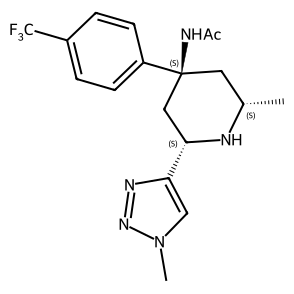 CC(=O)N[C@]1(c2ccc(C(F)(F)F)cc2)C[C@@H](c2cn(C)nn2)N[C@@H](C)C1